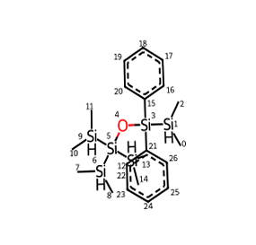 C[SiH](C)[Si](O[Si]([SiH](C)C)([SiH](C)C)[SiH](C)C)(c1ccccc1)c1ccccc1